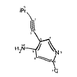 CC(C)C#Cc1cnc(Cl)cc1N